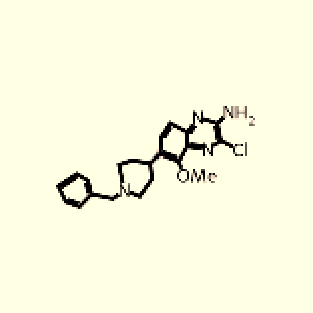 COc1c(C2CCN(Cc3ccccc3)CC2)ccc2nc(N)c(Cl)nc12